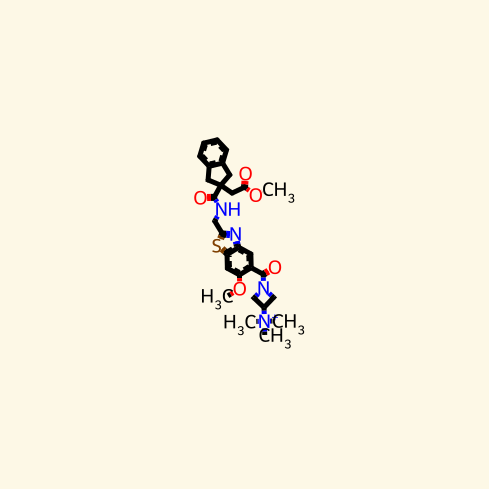 COC(=O)CC1(C(=O)NCc2nc3cc(C(=O)N4CC([N+](C)(C)C)C4)c(OC)cc3s2)Cc2ccccc2C1